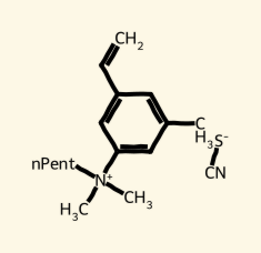 C=Cc1cc(C)cc([N+](C)(C)CCCCC)c1.N#C[S-]